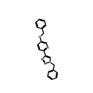 c1ccc(COc2ccc(-c3cn(Cc4ccccc4)nn3)nc2)cc1